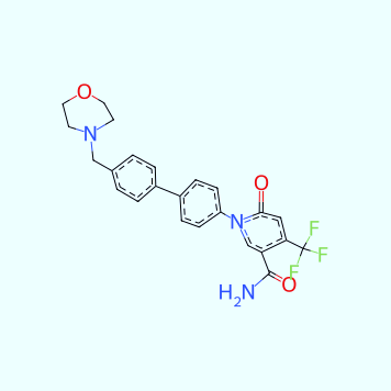 NC(=O)c1cn(-c2ccc(-c3ccc(CN4CCOCC4)cc3)cc2)c(=O)cc1C(F)(F)F